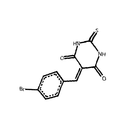 O=C1NC(=S)NC(=O)C1=Cc1ccc(Br)cc1